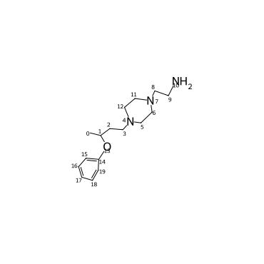 CC(CCN1CCN(CCN)CC1)Oc1ccccc1